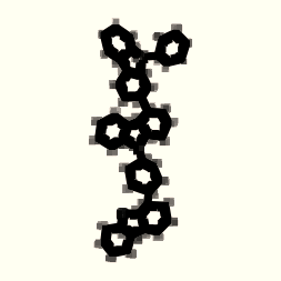 c1ccc(-n2c3ccccc3c3ccc(-c4cccc5c4c4ccccc4n5-c4ccc(-c5cccc6c5oc5ccccc56)cc4)cc32)cc1